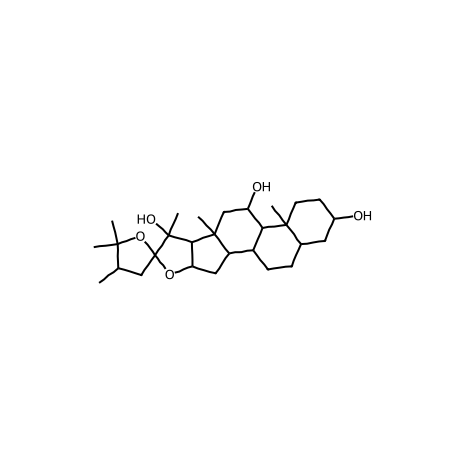 CC1CC2(OC3CC4C5CCC6CC(O)CCC6(C)C5C(O)CC4(C)C3C2(C)O)OC1(C)C